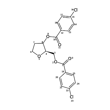 O=C(OC[C@H]1OCCC1OC(=O)c1ccc(Cl)cc1)c1ccc(Cl)cc1